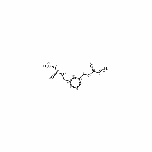 C=CC(=O)OCc1cccc(COC(=O)C=C)c1